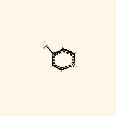 Nc1[c]cncc1